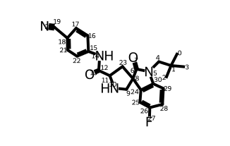 CC(C)(C)CN1C(=O)C2(CNC(C(=O)Nc3ccc(C#N)cc3)C2)c2cc(F)ccc21